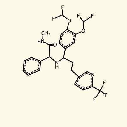 CNC(=O)C(NC(CCc1ccc(C(F)(F)F)nc1)c1ccc(OC(F)F)c(OC(F)F)c1)c1ccccc1